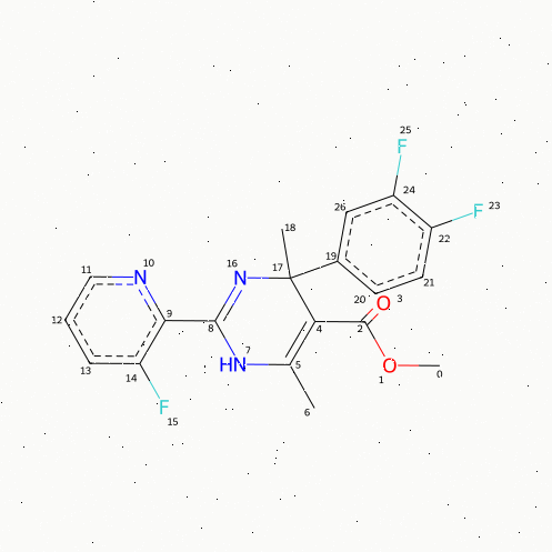 COC(=O)C1=C(C)NC(c2ncccc2F)=NC1(C)c1ccc(F)c(F)c1